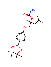 CC(C)CC(C)(COc1ccc(B2OC(C)(C)C(C)(C)O2)cc1)OC(N)=O